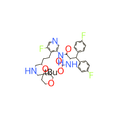 CC(C)(C)OC(=O)N[C@H](C(=O)Nc1cncc(F)c1CCC1CNCC2(CCOCC2)O1)C(c1ccc(F)cc1)c1ccc(F)cc1